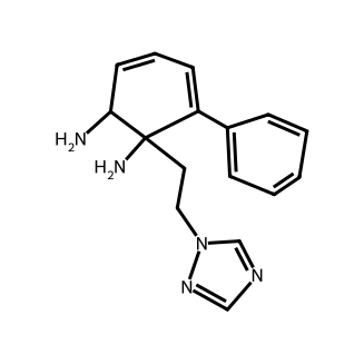 NC1C=CC=C(c2ccccc2)C1(N)CCn1cncn1